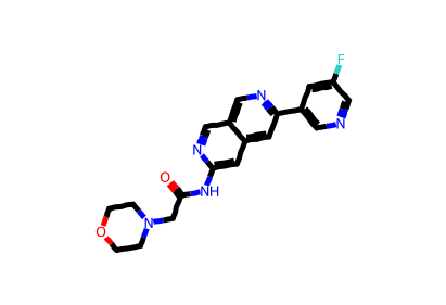 O=C(CN1CCOCC1)Nc1cc2cc(-c3cncc(F)c3)ncc2cn1